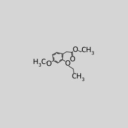 CCCOc1cc(OC)ccc1CC(=O)OCC